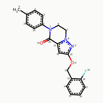 Cc1ccc(N2CCn3nc(OCc4ccccc4F)cc3C2=O)cc1